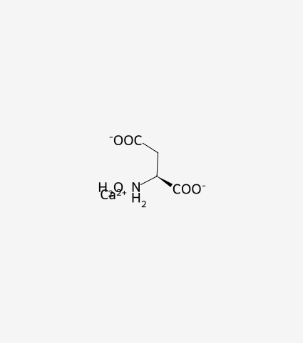 N[C@@H](CC(=O)[O-])C(=O)[O-].O.[Ca+2]